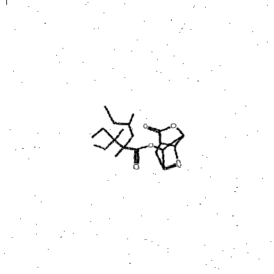 CCC(C)CC(C)(C(=O)OC1C2CC3C(=O)OC1C3O2)C(C)(CC)CC